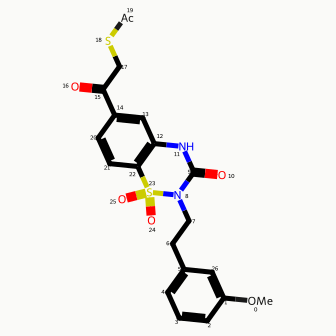 COc1cccc(CCN2C(=O)Nc3cc(C(=O)CSC(C)=O)ccc3S2(=O)=O)c1